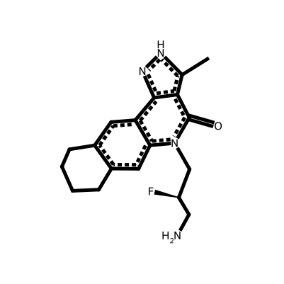 Cc1[nH]nc2c1c(=O)n(C[C@H](F)CN)c1cc3c(cc21)CCCC3